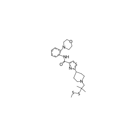 CSSC(C)(C)CN1CCC(c2nc(C(=O)Nc3ccccc3N3CCOCC3)cs2)CC1